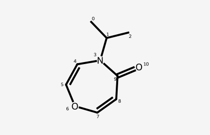 CC(C)N1C=COC=CC1=O